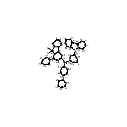 CC1(C)c2ccccc2-c2cc(N(c3ccc(-c4ccccc4)cc3)c3cccc(-n4c5ccccc5c5ccccc54)c3)cc(-c3ccccc3)c21